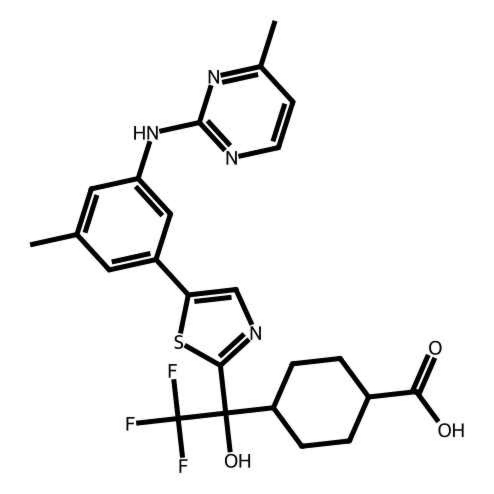 Cc1cc(Nc2nccc(C)n2)cc(-c2cnc(C(O)(C3CCC(C(=O)O)CC3)C(F)(F)F)s2)c1